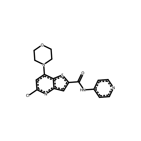 O=C(Nc1ccncc1)c1cc2nc(Cl)cc(N3CCOCC3)c2s1